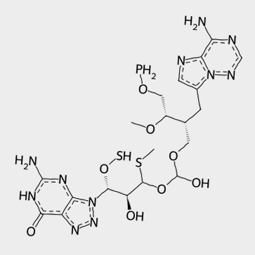 CO[C@H](COP)[C@@H](COC(O)OC(SC)[C@@H](O)[C@@H](OS)n1nnc2c(=O)[nH]c(N)nc21)Cc1cnc2c(N)ncnn12